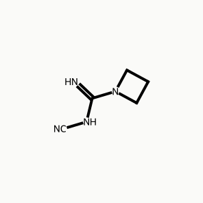 N#CNC(=N)N1CCC1